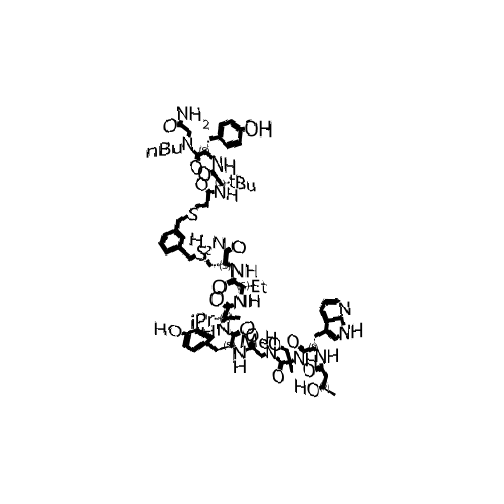 CCCCN(CC(N)=O)C(=O)[C@H](Cc1ccc(O)cc1)NC(=O)[C@@H](NC(=O)CCSCc1cccc(CSC[C@@H](NC(=O)[C@H](CC)NC(=O)[C@@](C)(NC(=O)[C@H](Cc2ccc(O)cc2)NC(=O)CNC(=O)C(C)(COC)NC(=O)[C@H](Cc2c[nH]c3ncccc23)NC(=O)C[C@@H](C)O)C(C)C)C(N)=O)c1)C(C)(C)C